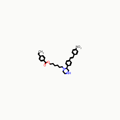 C=Cc1ccc(C(=O)OCCCCCCN2CCNCC2c2ccc(C=Cc3ccc([N+](=O)[O-])cc3)cc2)cc1